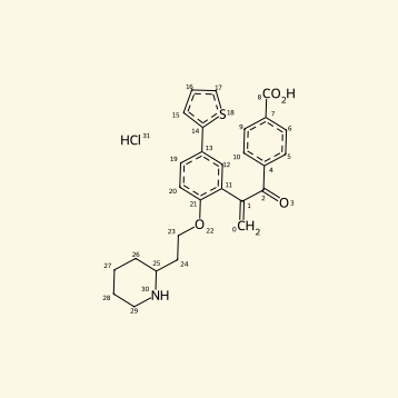 C=C(C(=O)c1ccc(C(=O)O)cc1)c1cc(-c2cccs2)ccc1OCCC1CCCCN1.Cl